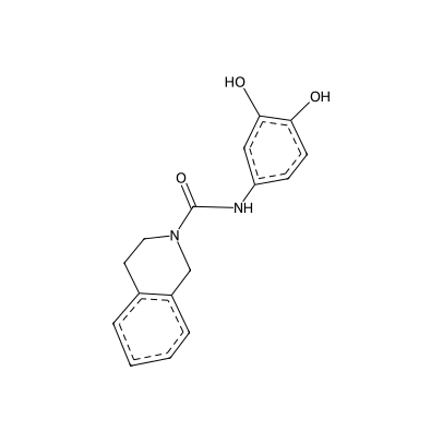 O=C(Nc1ccc(O)c(O)c1)N1CCc2ccccc2C1